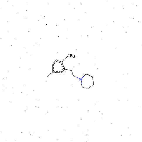 Cc1ccc(C(C)(C)C)c(CCN2CCCCC2)c1